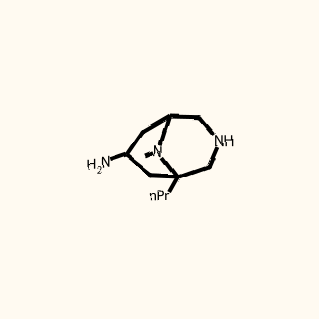 CCCC12CNCC(CC(N)C1)N2C